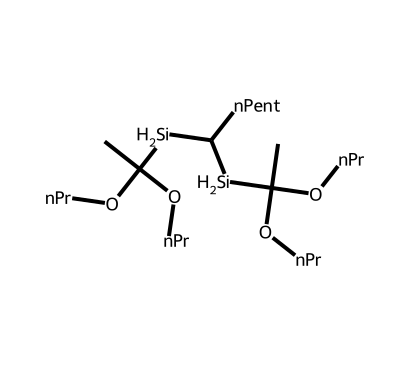 CCCCCC([SiH2]C(C)(OCCC)OCCC)[SiH2]C(C)(OCCC)OCCC